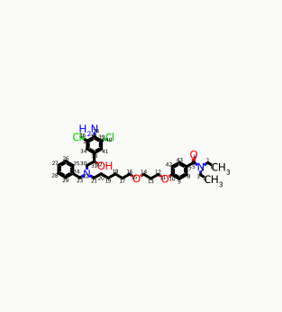 CCN(CC)C(=O)c1ccc(OCCCOCCCCCCN(Cc2ccccc2)CC(O)c2cc(Cl)c(N)c(Cl)c2)cc1